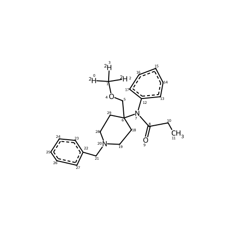 [2H]C([2H])([2H])OCC1(N(C(=O)CC)c2ccccc2)CCN(Cc2ccccc2)CC1